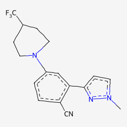 Cn1ccc(-c2cc(N3CCC(C(F)(F)F)CC3)ccc2C#N)n1